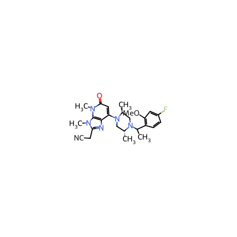 COc1cc(F)ccc1C(C)N1C[C@H](C)N(c2cc(=O)n(C)c3c2nc(CC#N)n3C)C[C@H]1C